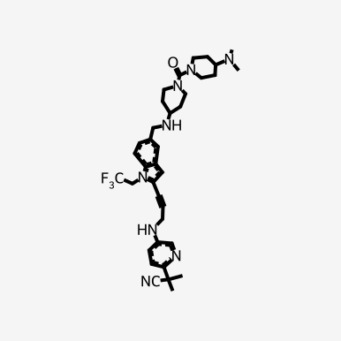 CN(C)C1CCN(C(=O)N2CCC(NCc3ccc4c(c3)cc(C#CCNc3ccc(C(C)(C)C#N)nc3)n4CC(F)(F)F)CC2)CC1